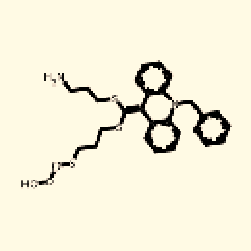 NCCCSC(SCCCSOOO)=C1c2ccccc2N(Cc2ccccc2)c2ccccc21